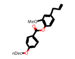 C=CCc1ccc(OC(=O)c2ccc(OCCCCCCCCCC)cc2)c(OC)c1